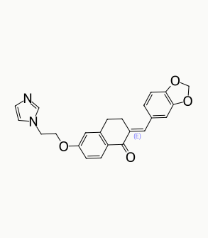 O=C1/C(=C/c2ccc3c(c2)OCO3)CCc2cc(OCCn3ccnc3)ccc21